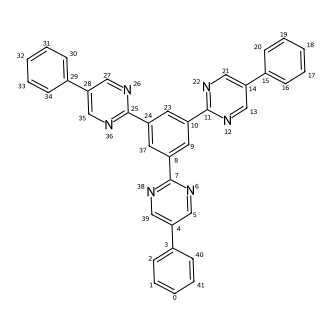 c1ccc(-c2cnc(-c3cc(-c4ncc(-c5ccccc5)cn4)cc(-c4ncc(-c5ccccc5)cn4)c3)nc2)cc1